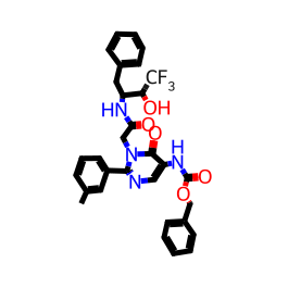 Cc1cccc(-c2ncc(NC(=O)OCc3ccccc3)c(=O)n2CC(=O)NC(Cc2ccccc2)C(O)C(F)(F)F)c1